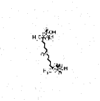 CC(C)(CCCC[S+]([O-])CCCCC(C)(C)OP(=O)(O)O)OP(=O)(O)O